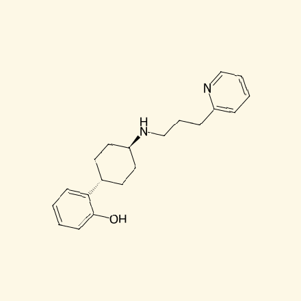 Oc1ccccc1[C@H]1CC[C@H](NCCCc2ccccn2)CC1